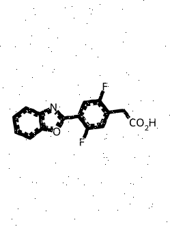 O=C(O)Cc1cc(F)c(-c2nc3ccccc3o2)cc1F